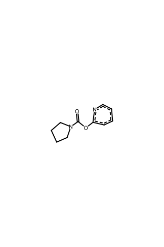 O=C(Oc1ccccn1)N1CCCC1